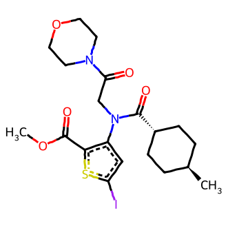 COC(=O)c1sc(I)cc1N(CC(=O)N1CCOCC1)C(=O)[C@H]1CC[C@H](C)CC1